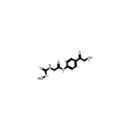 CC(C)(C)OC(=O)NCC(=O)Oc1ccc(C(=O)CO)cc1